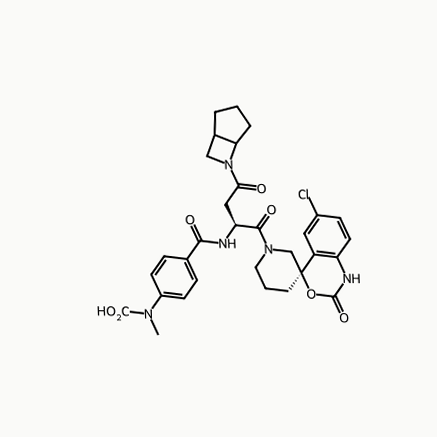 CN(C(=O)O)c1ccc(C(=O)N[C@@H](CC(=O)N2CC3CCCC32)C(=O)N2CCC[C@@]3(C2)OC(=O)Nc2ccc(Cl)cc23)cc1